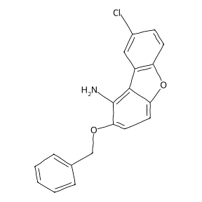 Nc1c(OCc2ccccc2)ccc2oc3ccc(Cl)cc3c12